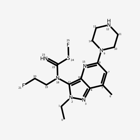 CCn1nc2c(C)cc(N3CCNCC3)nc2c1N(CCF)C(=N)SF